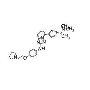 CC(c1ccc(-c2cccc3nc(Nc4ccc(OCCN5CCCC5)cc4)nn23)cc1)N(C)C